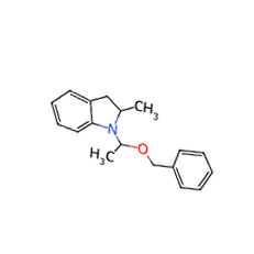 CC1Cc2ccccc2N1C(C)OCc1ccccc1